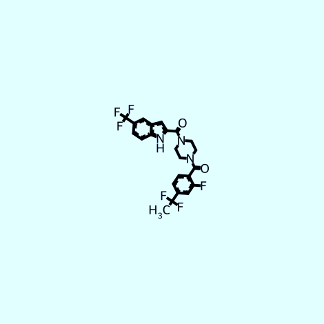 CC(F)(F)c1ccc(C(=O)N2CCN(C(=O)c3cc4cc(C(F)(F)F)ccc4[nH]3)CC2)c(F)c1